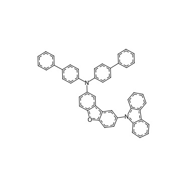 c1ccc(-c2ccc(N(c3ccc(-c4ccccc4)cc3)c3ccc4oc5ccc(-n6c7ccccc7c7ccccc76)cc5c4c3)cc2)cc1